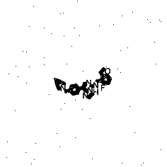 Fc1ccc2c(c1CNc1ncc(-c3ccc(CN4CC5CC5C4)cc3)c3nccn13)CCO2